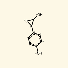 Oc1ccc(C2OC2O)cc1